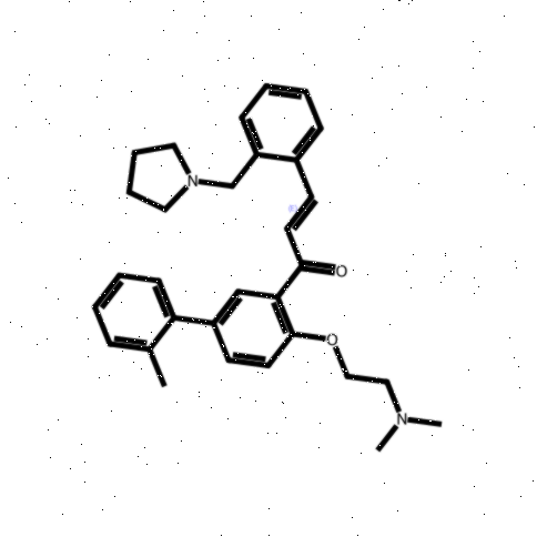 Cc1ccccc1-c1ccc(OCCN(C)C)c(C(=O)/C=C/c2ccccc2CN2CCCC2)c1